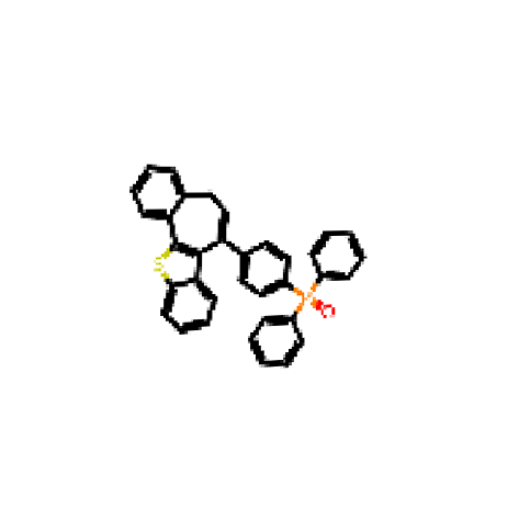 O=P(c1ccccc1)(c1ccccc1)c1ccc(C2=CCc3ccccc3-c3sc4ccccc4c32)cc1